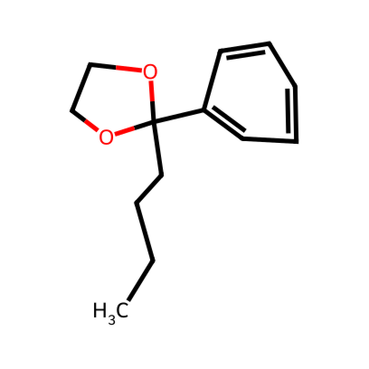 CCCCC1(c2ccccc2)OCCO1